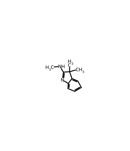 CNC1=Nc2ccccc2C1(C)C